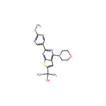 COc1ncc(-c2nc(N3CCOCC3)c3cc(C(C)(C)O)sc3n2)cn1